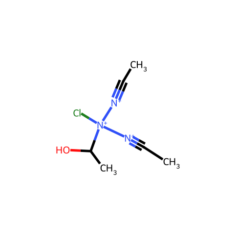 CC#[N+][N+](Cl)([N+]#CC)C(C)O